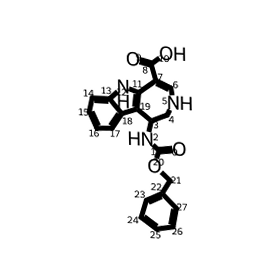 O=C(NC1CNC=C(C(=O)O)c2[nH]c3ccccc3c21)OCc1ccccc1